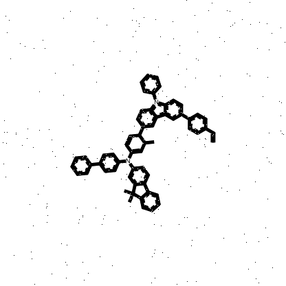 C=Cc1ccc(-c2ccc3c(c2)c2cc(C4C=CC(N(c5ccc(-c6ccccc6)cc5)c5ccc6c(c5)C(C)(C)c5ccccc5-6)=CC4C)ccc2n3-c2ccccc2)cc1